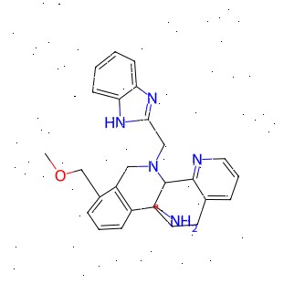 COCc1cccc(CN)c1CN(Cc1nc2ccccc2[nH]1)C1CCCc2cccnc21